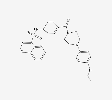 CCOc1ccc(N2CCN(C(=O)c3ccc(NS(=O)(=O)c4cccc5cccnc45)cc3)CC2)cc1